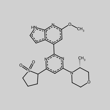 COc1cc(-c2nc(C3CCCS3(=O)=O)cc(N3CCOC[C@H]3C)n2)c2cc[nH]c2n1